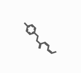 C=C(/C=C\C=C/C)CCc1ccc(C)cc1